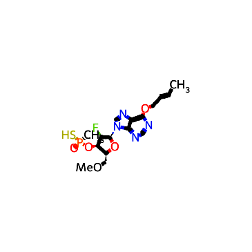 C/C=C/COc1ncnc2c1ncn2[C@@H]1O[C@H](COC)[C@@H](O[P@](C)(=O)S)[C@H]1F